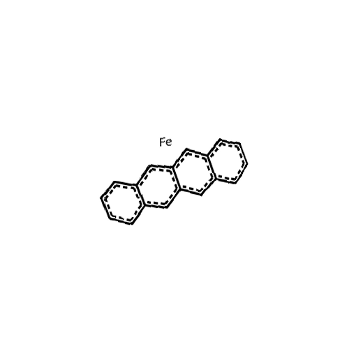 [Fe].c1ccc2cc3cc4ccccc4cc3cc2c1